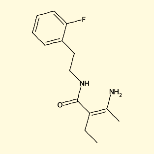 CCC(C(=O)NCCc1ccccc1F)=C(C)N